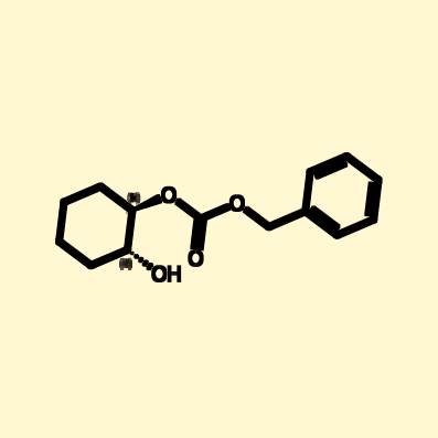 O=C(OCc1ccccc1)O[C@@H]1CCCC[C@H]1O